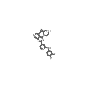 Fc1ccc(Nc2cc(-c3nc(N4CCNCC4)c4c(C5CC5)cncc4n3)ccn2)cc1F